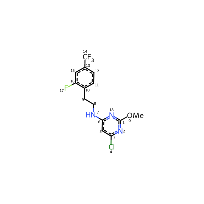 COc1nc(Cl)cc(NCCc2ccc(C(F)(F)F)cc2F)n1